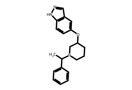 CC(c1ccccc1)N1CCCC(Oc2ccc3[nH]ncc3c2)C1